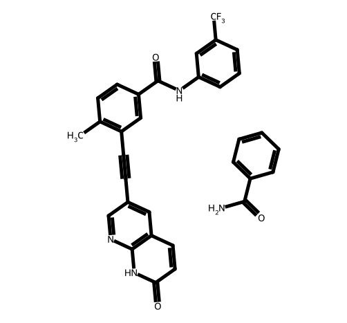 Cc1ccc(C(=O)Nc2cccc(C(F)(F)F)c2)cc1C#Cc1cnc2[nH]c(=O)ccc2c1.NC(=O)c1ccccc1